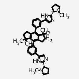 CN1CCC[C@H]1c1ncc(-c2cccc(-c3c4c(c(-c5cccc(-c6cnc([C@@H]7CCCN7C)[nH]6)c5)c5c3C(C)(C)CC5)C(C)(C)CC4)c2)[nH]1